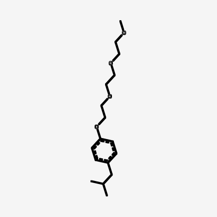 COCCOCCOCCOc1ccc(CC(C)C)cc1